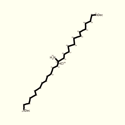 CCCCCCCCCCCCCCCCCCCCCCC(N)CCCCCCCCCCCCCCCCCCCCCC.Cl